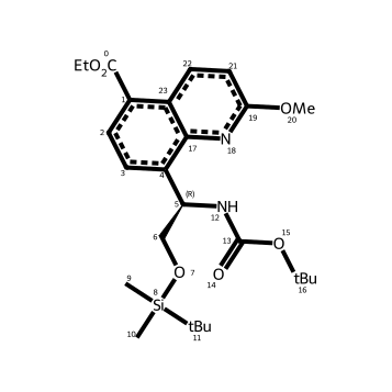 CCOC(=O)c1ccc([C@H](CO[Si](C)(C)C(C)(C)C)NC(=O)OC(C)(C)C)c2nc(OC)ccc12